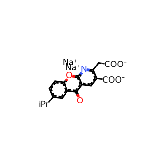 CC(C)c1ccc2oc3nc(CC(=O)[O-])c(C(=O)[O-])cc3c(=O)c2c1.[Na+].[Na+]